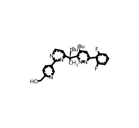 CC[C@H](C)c1cc(-c2c(F)cccc2F)nnc1[C@](C)(c1ccnc(-c2ccc(CO)nc2)n1)C(C)(C)C